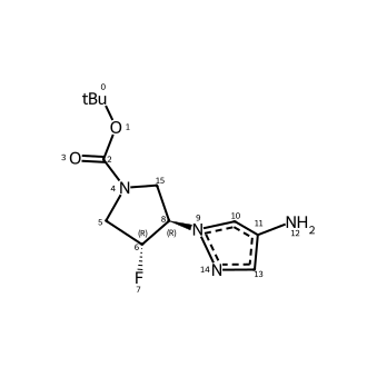 CC(C)(C)OC(=O)N1C[C@@H](F)[C@H](n2cc(N)cn2)C1